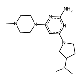 CN1CCN(c2cc(N3CCC(N(C)C)C3)nc(N)n2)CC1